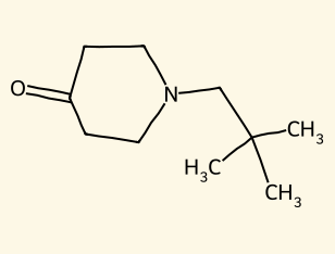 CC(C)(C)CN1CCC(=O)CC1